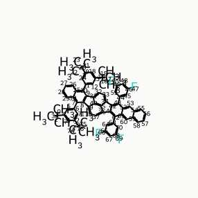 CC(C)(C)c1cc(-c2c3c(c(-c4cc(C(C)(C)C)cc(C(C)(C)C)c4)c4ccccc24)-c2ccc4c5c(ccc-3c25)-c2c-4c(-c3cc(F)cc(F)c3)c3cc4ccccc4cc3c2-c2cc(F)cc(F)c2)cc(C(C)(C)C)c1